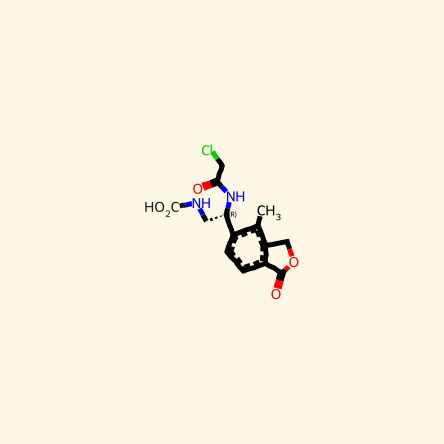 Cc1c([C@H](CNC(=O)O)NC(=O)CCl)ccc2c1COC2=O